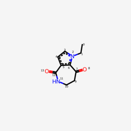 CCn1ccc2c1C(=O)CCNC2=O